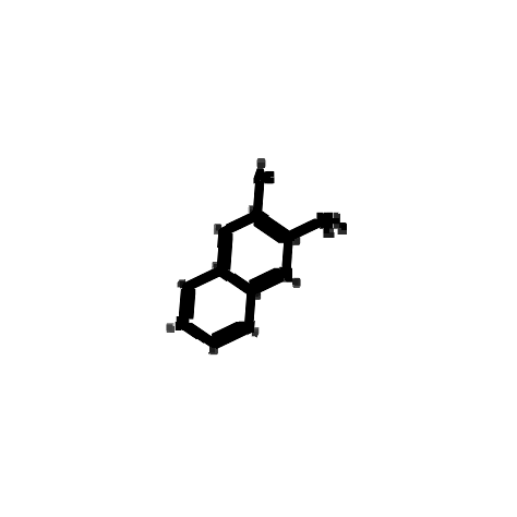 CC(=O)c1cc2cnccc2nc1N